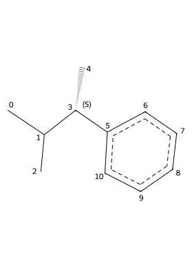 CC(C)[C@H](C)c1ccccc1